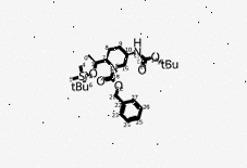 C[C@H](O[Si](C)(C)C(C)(C)C)[C@H]1CC[C@@H](NC(=O)OC(C)(C)C)CN1C(=O)OCc1ccccc1